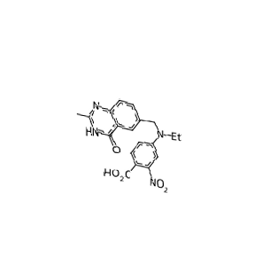 CCN(Cc1ccc2nc(C)[nH]c(=O)c2c1)c1ccc(C(=O)O)c([N+](=O)[O-])c1